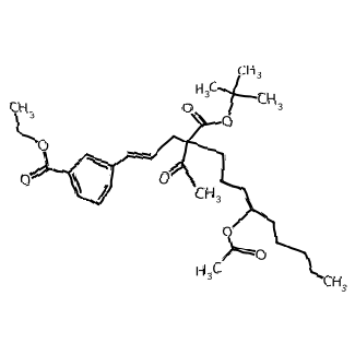 CCCCCC(CCCC(CC=Cc1cccc(C(=O)OCC)c1)(C(C)=O)C(=O)OC(C)(C)C)OC(C)=O